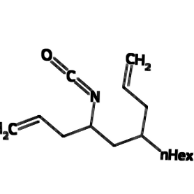 C=CCC(C[CH]CCCC)CC(CC=C)N=C=O